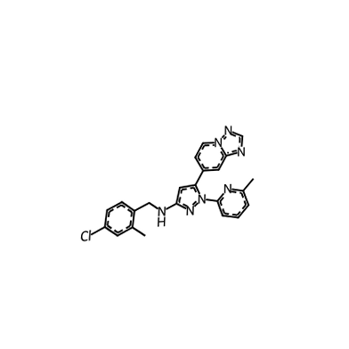 Cc1cccc(-n2nc(NCc3ccc(Cl)cc3C)cc2-c2ccn3ncnc3c2)n1